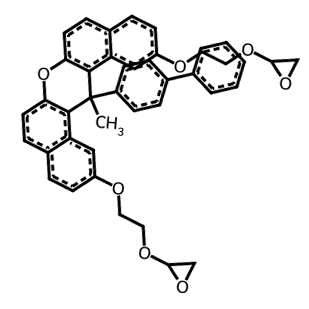 CC1(c2ccc(-c3ccccc3)cc2)c2c(ccc3ccc(OCCOC4CO4)cc23)Oc2ccc3ccc(OCCOC4CO4)cc3c21